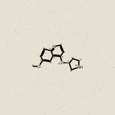 COc1ccc2nccc(O[C@H]3CCNC3)c2c1